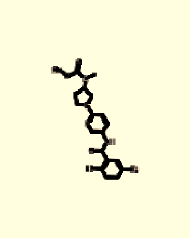 C[CH]c1ccc(Cl)c(C(=O)Nc2ccc(N3CCC(N(C)C(=O)OC(C)(C)C)C3)nc2)c1